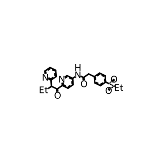 CCC(C(=O)c1ccc(NC(=O)Cc2ccc(S(=O)(=O)CC)cc2)cn1)c1ccccn1